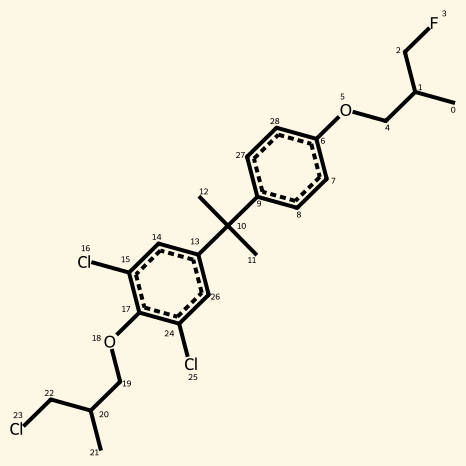 CC(CF)COc1ccc(C(C)(C)c2cc(Cl)c(OCC(C)CCl)c(Cl)c2)cc1